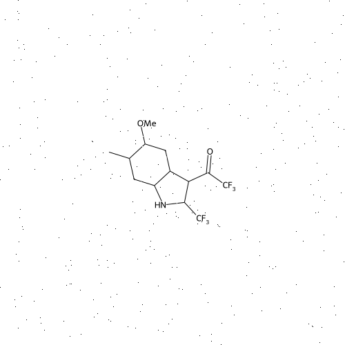 COC1CC2C(CC1C)NC(C(F)(F)F)C2C(=O)C(F)(F)F